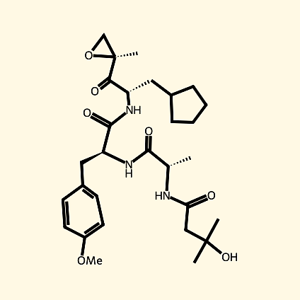 COc1ccc(C[C@H](NC(=O)[C@H](C)NC(=O)CC(C)(C)O)C(=O)N[C@@H](CC2CCCC2)C(=O)[C@]2(C)CO2)cc1